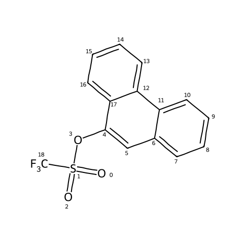 O=S(=O)(Oc1cc2ccccc2c2ccccc12)C(F)(F)F